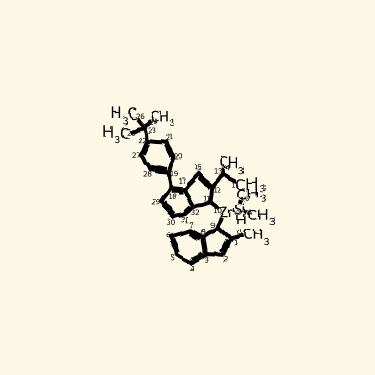 CC1=Cc2ccccc2[CH]1[Zr]([CH]1C(C(C)C)=Cc2c(-c3ccc(C(C)(C)C)cc3)cccc21)[SiH](C)C